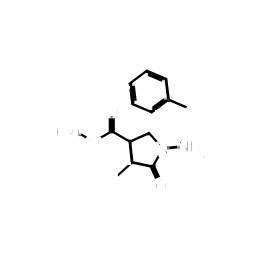 CC1C(=O)N(N)CC1C(=O)OC(C)(C)C.Cc1ccccc1